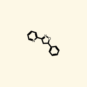 [c]1ccc(C2CC(c3ccccn3)=NO2)cc1